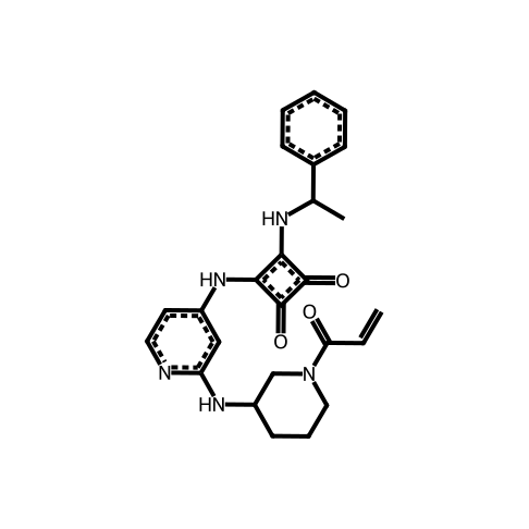 C=CC(=O)N1CCCC(Nc2cc(Nc3c(NC(C)c4ccccc4)c(=O)c3=O)ccn2)C1